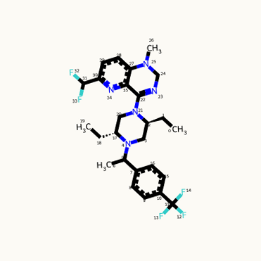 CC[C@H]1CN(C(C)c2ccc(C(F)(F)F)cc2)[C@H](CC)CN1C1=NCN(C)c2ccc(C(F)F)nc21